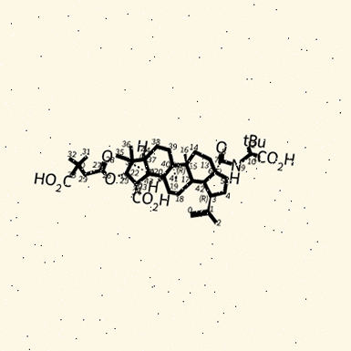 C=C(C)[C@@H]1CC[C@]2(C(=O)NC(C(=O)O)C(C)(C)C)CC[C@]3(C)C(CC[C@@H]4[C@@]5(C)[C@@H](C(=O)O)[C@H](OC(=O)CC(C)(C)C(=O)O)C(C)(C)[C@@H]5CC[C@]43C)C12